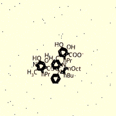 CCCCCCCCC(=Nc1ccccc1)C(CCCC)=Nc1ccccc1.CCCc1c(C)cc(O)c(O)c1C(=O)[O-].CCCc1c(C)cc(O)c(O)c1C(=O)[O-].[Ni+2]